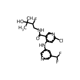 CC(C)(O)C(F)CNC(=O)c1cnc(Cl)cc1Nc1cncc(C(F)F)c1